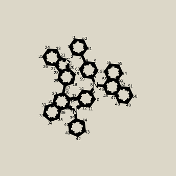 c1ccc(-c2ccc(N(c3ccc4c(c3)c3c(-c5ccc6sc7ccccc7c6c5)cc5ccccc5c3n4-c3ccccc3)c3cc4ccccc4c4ccccc34)cc2)cc1